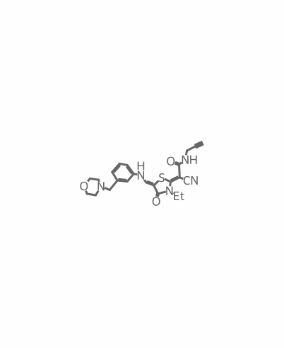 C#CCNC(=O)C(C#N)=c1sc(=CNc2cccc(CN3CCOCC3)c2)c(=O)n1CC